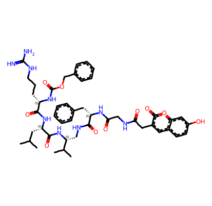 CC(C)C[C@H](NC(=O)[C@H](CCCNC(=N)N)NC(=O)OCc1ccccc1)C(=O)N[C@H](CNC(=O)[C@H](Cc1ccccc1)NC(=O)CNC(=O)Cc1cc2ccc(O)cc2oc1=O)C(C)C